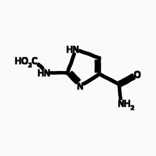 NC(=O)c1c[nH]c(NC(=O)O)n1